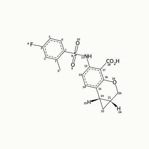 Cc1cc(F)ccc1S(=O)(=O)Nc1ccc2c(c1C(=O)O)OC[C@@H]1C[C@H]21